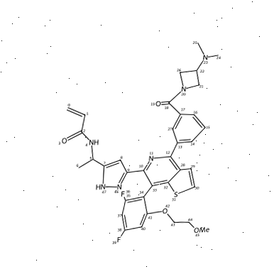 C=CC(=O)NC(C)c1cc(-c2nc(-c3cccc(C(=O)N4CC(N(C)C)C4)c3)c3ccsc3c2-c2c(F)cc(F)cc2OCCOC)n[nH]1